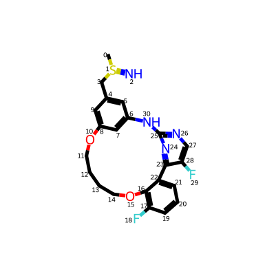 CS(=N)Cc1cc2cc(c1)OCCCCOc1c(F)cccc1-c1nc(ncc1F)N2